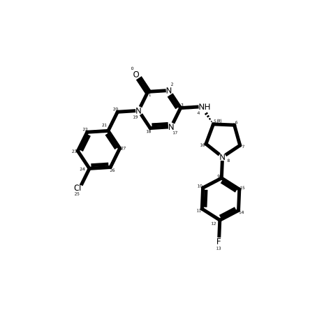 O=c1nc(N[C@@H]2CCN(c3ccc(F)cc3)C2)ncn1Cc1ccc(Cl)cc1